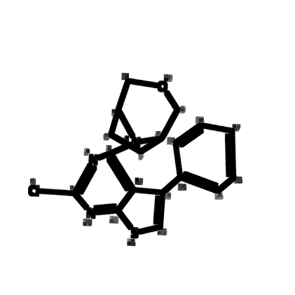 Clc1nc(N2C3CCC2COC3)c2c(-c3ccccc3)csc2n1